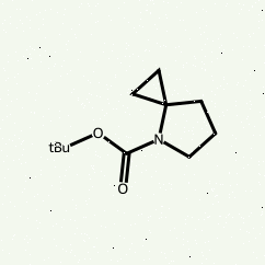 CC(C)(C)OC(=O)N1CCCC12CC2